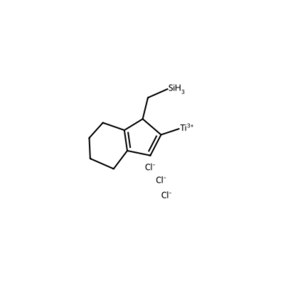 [Cl-].[Cl-].[Cl-].[SiH3]CC1[C]([Ti+3])=CC2=C1CCCC2